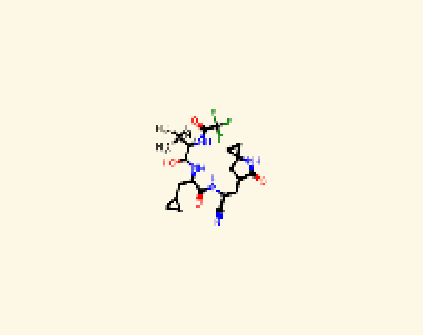 CC(C)(C)C(NC(=O)C(F)(F)F)C(O)NC(CC1CC1)C(=O)NC(C#N)CC1CC2(CC2)NC1=O